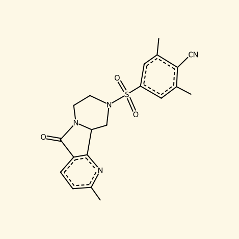 Cc1ccc2c(n1)C1CN(S(=O)(=O)c3cc(C)c(C#N)c(C)c3)CCN1C2=O